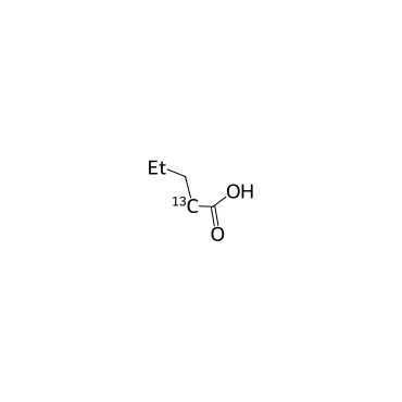 CCC[13CH2]C(=O)O